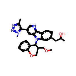 COCC1COc2ccccc2C1n1c2cc(CC(C)O)ccc2c2ncc(-c3c(C)nnn3C)cc21